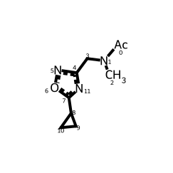 CC(=O)N(C)Cc1noc(C2CC2)n1